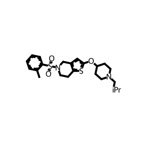 Cc1ccccc1S(=O)(=O)N1CCc2sc(OC3CCN(CC(C)C)CC3)cc2C1